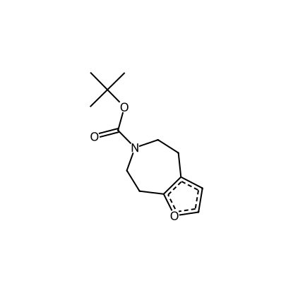 CC(C)(C)OC(=O)N1CCc2ccoc2CC1